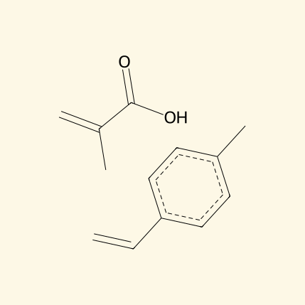 C=C(C)C(=O)O.C=Cc1ccc(C)cc1